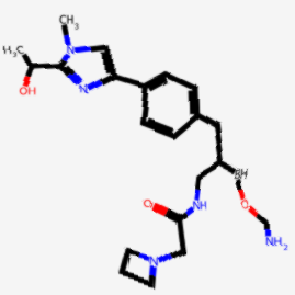 CC(O)c1nc(-c2ccc(CC(BOCN)CNC(=O)CN3CCC3)cc2)cn1C